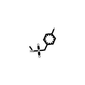 CNS(=O)(=O)Cc1ccc(I)cc1